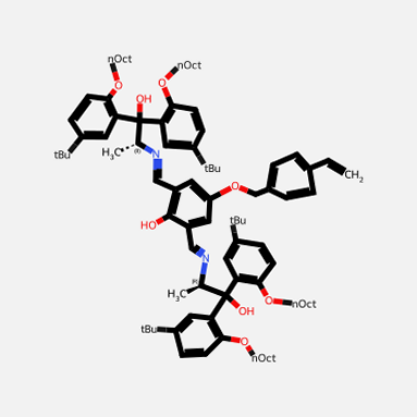 C=Cc1ccc(COc2cc(C=N[C@H](C)C(O)(c3cc(C(C)(C)C)ccc3OCCCCCCCC)c3cc(C(C)(C)C)ccc3OCCCCCCCC)c(O)c(C=N[C@H](C)C(O)(c3cc(C(C)(C)C)ccc3OCCCCCCCC)c3cc(C(C)(C)C)ccc3OCCCCCCCC)c2)cc1